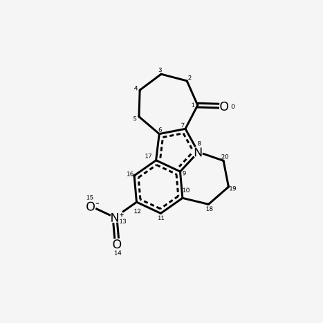 O=C1CCCCc2c1n1c3c(cc([N+](=O)[O-])cc23)CCC1